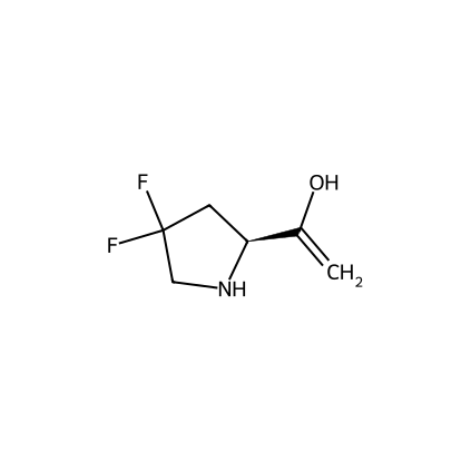 C=C(O)[C@@H]1CC(F)(F)CN1